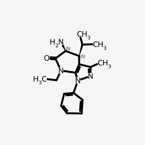 CCN1C(=O)[C@@H](N)[C@@H](C(C)C)c2c(C)nn(-c3ccccc3)c21